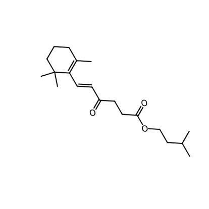 CC1=C(/C=C/C(=O)CCC(=O)OCCC(C)C)C(C)(C)CCC1